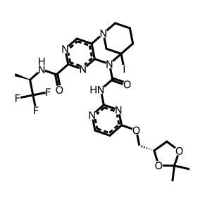 C[C@@H](NC(=O)c1ncc2c(n1)N(C(=O)Nc1nccc(OC[C@@H]3COC(C)(C)O3)n1)C1(I)CCCN2C1)C(F)(F)F